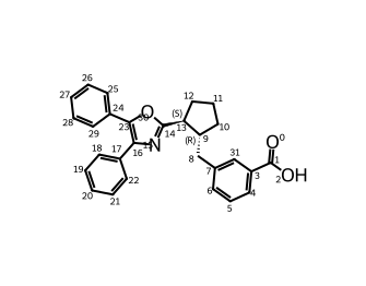 O=C(O)c1cccc(C[C@H]2CCC[C@@H]2c2nc(-c3ccccc3)c(-c3ccccc3)o2)c1